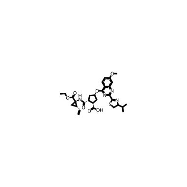 C=C[C@@H]1C[C@]1(NC(=O)[C@@H]1C[C@@H](Oc2nc(C3=NC(C(C)C)CS3)nc3cc(OC)ccc23)C[C@H]1C(=O)O)C(=O)OCC